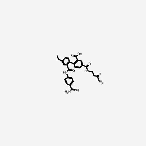 CCc1ccc(-c2ccc(C(=O)NCCC(N)=O)cc2C(=O)O)c(C(=O)Nc2ccc(C(=N)N)cc2)c1